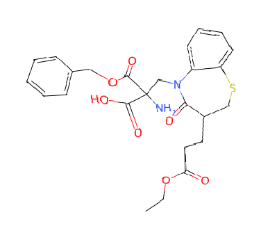 CCOC(=O)CCC1CSc2ccccc2N(CC(N)(C(=O)O)C(=O)OCc2ccccc2)C1=O